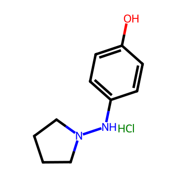 Cl.Oc1ccc(NN2CCCC2)cc1